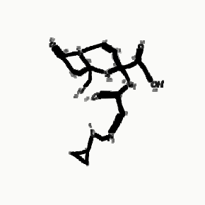 O=C(/C=N\OC1CC1)NC1(C(=O)O)C=CN2C(=O)C[C@H]2S1